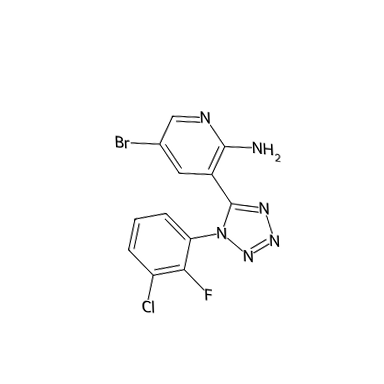 Nc1ncc(Br)cc1-c1nnnn1-c1cccc(Cl)c1F